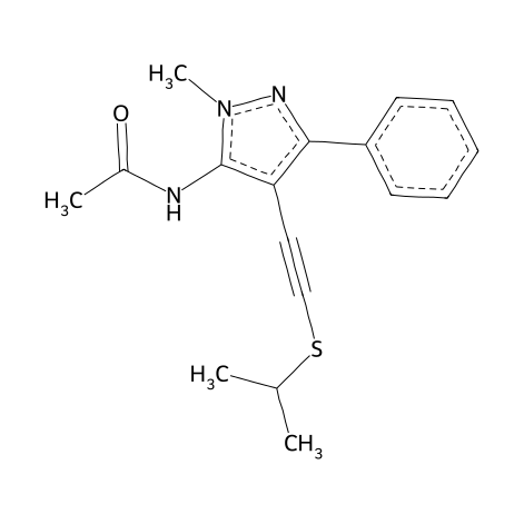 CC(=O)Nc1c(C#CSC(C)C)c(-c2ccccc2)nn1C